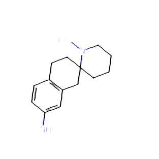 CCCN1CCCCC12CCc1ccc(N)cc1C2